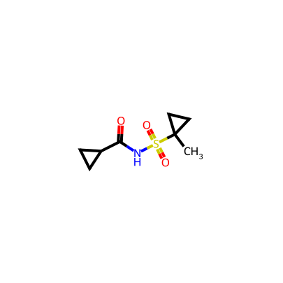 CC1(S(=O)(=O)NC(=O)C2CC2)CC1